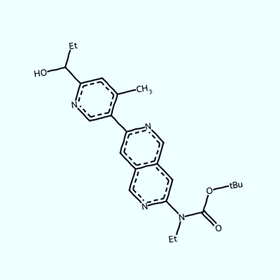 CCC(O)c1cc(C)c(-c2cc3cnc(N(CC)C(=O)OC(C)(C)C)cc3cn2)cn1